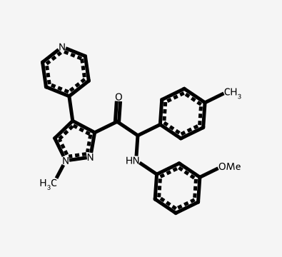 COc1cccc(NC(C(=O)c2nn(C)cc2-c2ccncc2)c2ccc(C)cc2)c1